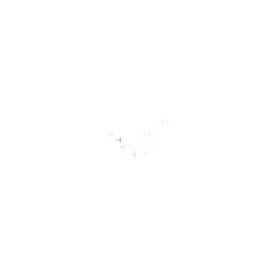 I.O.O.O.O.[Ce].[H+]